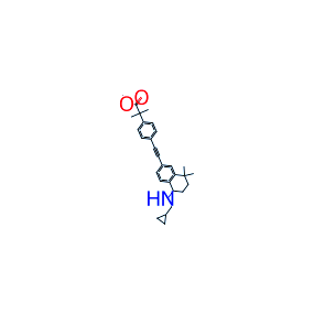 COC(=O)C(C)(C)c1ccc(C#Cc2ccc3c(c2)C(C)(C)CCC3NCC2CC2)cc1